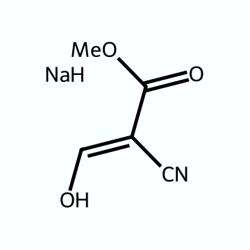 COC(=O)C(C#N)=CO.[NaH]